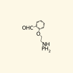 O=Cc1ccccc1OCCNP